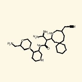 N#CCC1CCC2(CCCCC2)CC(C(C(=O)NC2CNCCC2N2CCOC(CN)C2)C(N)N)NC1